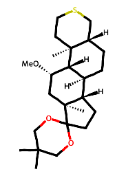 CO[C@H]1C[C@@]2(C)[C@@H](CCC23OCC(C)(C)CO3)[C@@H]2CC[C@H]3CSCC[C@]3(C)[C@H]21